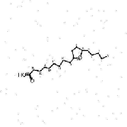 CCCCCC1CCC(CCCCCCCCC(=O)O)O1